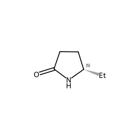 CC[C@H]1CCC(=O)N1